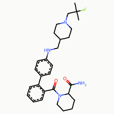 CC(C)(F)CN1CCC(CNc2ccc(-c3ccccc3C(=O)N3CCCCC3C(N)=O)cc2)CC1